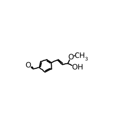 COC(O)/C=C/c1ccc(C=O)cc1